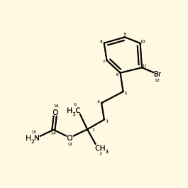 CC(C)(CCCc1ccccc1Br)OC(N)=O